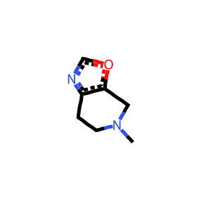 CN1CCc2ncoc2C1